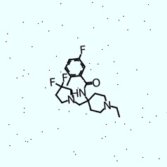 CCN1CCC(CN2CCC(F)(F)C2)(NC(=O)c2cc(F)ccc2C)CC1